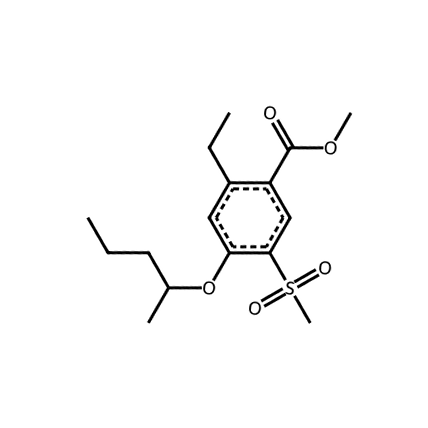 CCCC(C)Oc1cc(CC)c(C(=O)OC)cc1S(C)(=O)=O